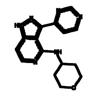 c1cc(-c2n[nH]c3ccnc(NC4CCOCC4)c23)ncn1